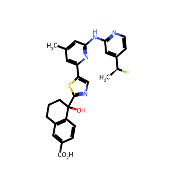 Cc1cc(Nc2cc([C@H](C)F)ccn2)nc(-c2cnc(C3(O)CCCc4cc(C(=O)O)ccc43)s2)c1